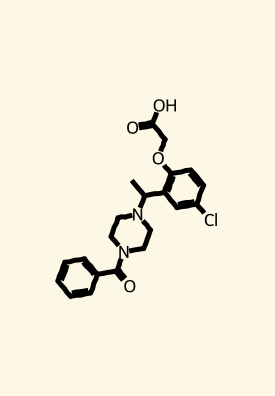 CC(c1cc(Cl)ccc1OCC(=O)O)N1CCN(C(=O)c2ccccc2)CC1